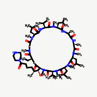 CC[C@@H]1CC(=O)[C@H]([C@H](O)[C@H](C)CCCC(=O)N2CCNCC2)N(C)C(=O)[C@H](C(C)C)N(C)C(=O)[C@H](CC(C)C)N(C)C(=O)[C@H](CC(C)C)N(C)C(=O)[C@@H](C)NC(=O)[C@H](C)NC(=O)[C@H](CC(C)C)N(C)C(=O)[C@H](C(C)C)NC(=O)[C@H](CC(C)C)N(C)C(=O)CN(C)C1=O